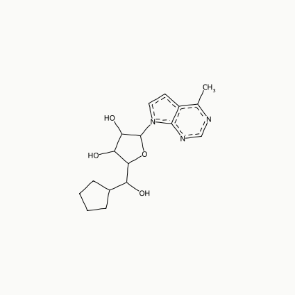 Cc1ncnc2c1ccn2C1OC(C(O)C2CCCC2)C(O)C1O